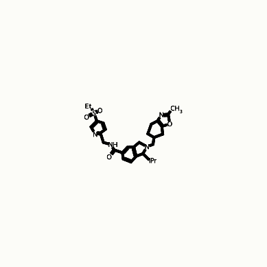 CCS(=O)(=O)c1ccc(CNC(=O)c2ccc3c(c2)CN(CC2CCc4nc(C)oc4C2)C3C(C)C)nc1